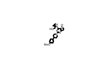 COc1ccc(C2CCN(c3nc4c(c(NC5(CO)CC5)n3)[S+]([O-])CC4)CC2)cc1